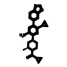 C[C@@H]1CN(c2nc(C3CC3)c(-c3ccc4ncoc4c3)cc2N)CCN1C(=O)C1CC1